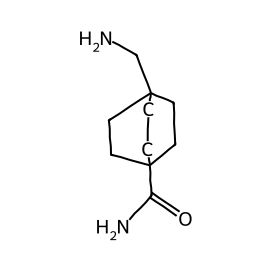 NCC12CCC(C(N)=O)(CC1)CC2